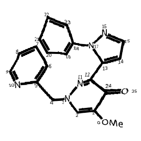 COc1cn(Cc2ccccn2)nc(-c2ccnn2-c2ccccc2)c1=O